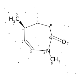 C[C@@H]1C=CN(C)C(=O)CC1